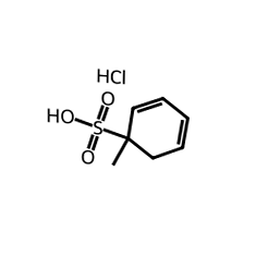 CC1(S(=O)(=O)O)C=CC=CC1.Cl